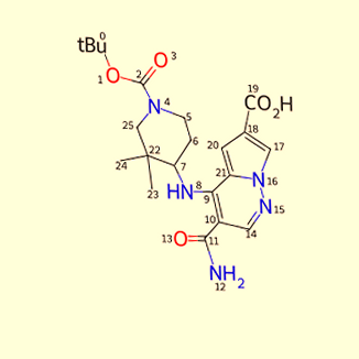 CC(C)(C)OC(=O)N1CCC(Nc2c(C(N)=O)cnn3cc(C(=O)O)cc23)C(C)(C)C1